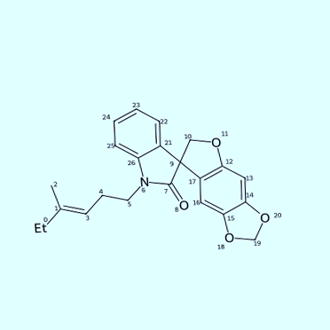 CCC(C)=CCCN1C(=O)C2(COc3cc4c(cc32)OCO4)c2ccccc21